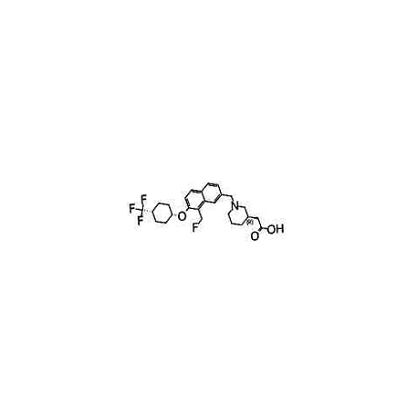 O=C(O)C[C@H]1CCCN(Cc2ccc3ccc(O[C@H]4CC[C@@H](C(F)(F)F)CC4)c(CF)c3c2)C1